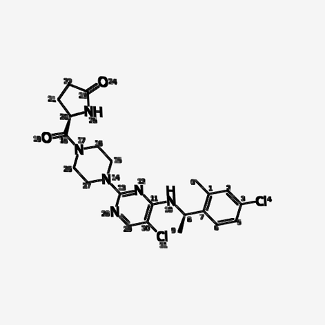 Cc1cc(Cl)ccc1[C@@H](C)Nc1nc(N2CCN(C(=O)[C@H]3CCC(=O)N3)CC2)ncc1Cl